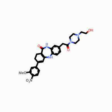 COc1cc(C2=CC3=C(CC2)C(=O)Nc2cc(CC(=O)N4CCN(CCO)CC4)ccc2N3)ccc1[N+](=O)[O-]